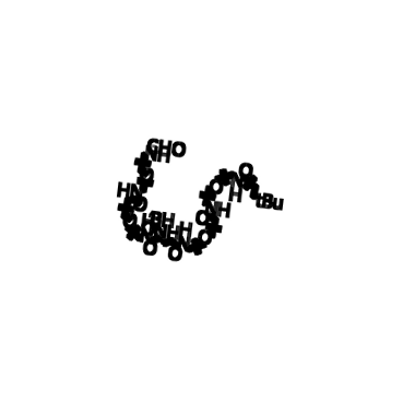 CBC(=O)N[C@@H](CCC(=O)NCC(C)(C)COCC(C)(C)CC(=O)NCC(C)(C)COCC(C)(C)CNC(=O)C(C)(C)CCC(C)(C)C)C(=O)NCC(C)(C)COCC(C)(C)CC(=O)NCC(C)(C)OCC(C)(C)CNC=O